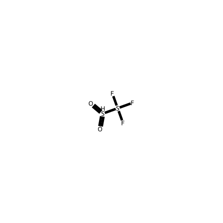 O=[SH](=O)S(F)(F)F